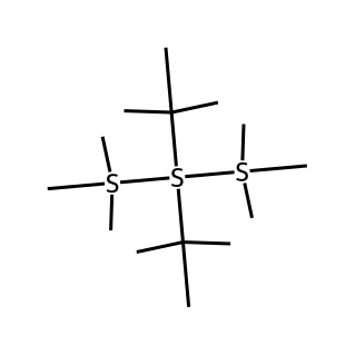 CC(C)(C)S(C(C)(C)C)(S(C)(C)C)S(C)(C)C